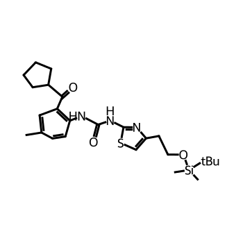 Cc1ccc(NC(=O)Nc2nc(CCO[Si](C)(C)C(C)(C)C)cs2)c(C(=O)C2CCCC2)c1